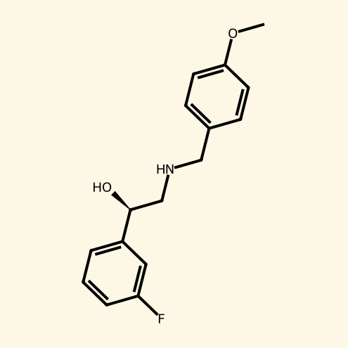 COc1ccc(CNC[C@H](O)c2cccc(F)c2)cc1